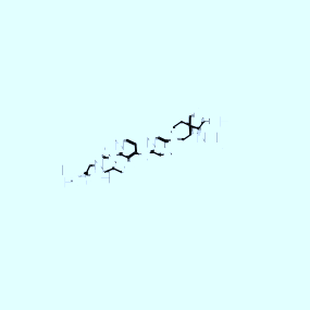 C[C@@H]1OCC2(CCN(c3cnc(Sc4ccnc5c4OCC4CN(CC(C)(C)O)C(=O)N54)cn3)CC2)[C@@H]1N